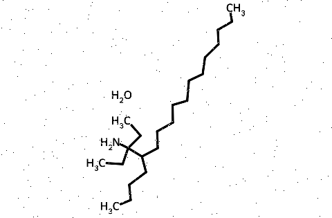 CCCCCCCCCCCCC(CCCC)C(N)(CC)CC.O